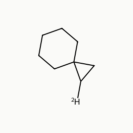 [2H]C1CC12CCCCC2